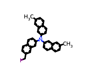 Cc1ccc2ccc(N(c3ccc4ccc(C)cc4c3)c3ccc4ccc(CI)cc4c3)cc2c1